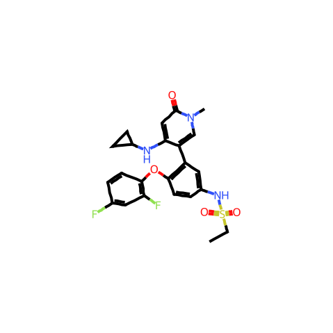 CCS(=O)(=O)Nc1ccc(Oc2ccc(F)cc2F)c(-c2cn(C)c(=O)cc2NC2CC2)c1